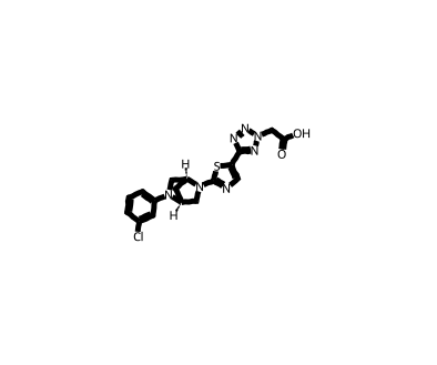 O=C(O)Cn1nnc(-c2cnc(N3C[C@@H]4C[C@H]3CN4c3cccc(Cl)c3)s2)n1